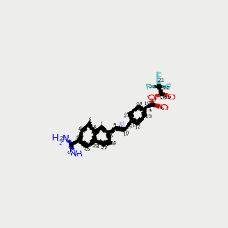 N=C(N)c1ccc2cc(/C=C/c3ccc(C(=O)OC(=O)C(F)(F)F)cc3)ccc2c1